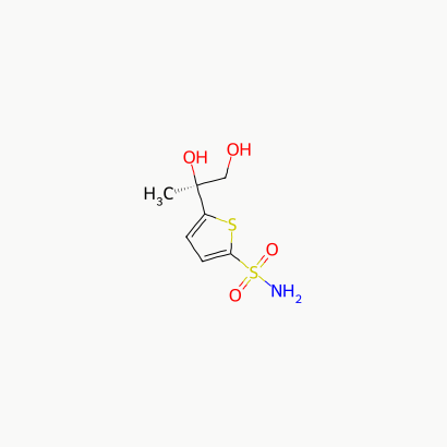 C[C@](O)(CO)c1ccc(S(N)(=O)=O)s1